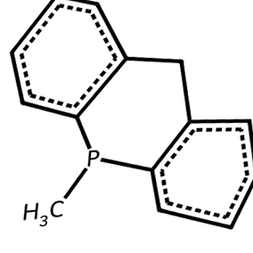 CP1c2ccccc2Cc2ccccc21